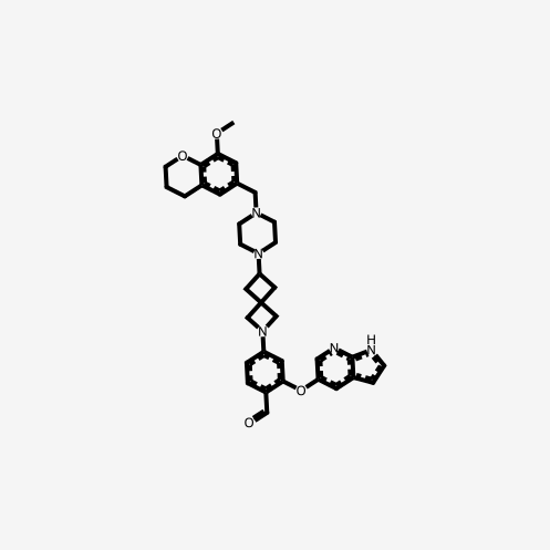 COc1cc(CN2CCN(C3CC4(C3)CN(c3ccc(C=O)c(Oc5cnc6[nH]ccc6c5)c3)C4)CC2)cc2c1OCCC2